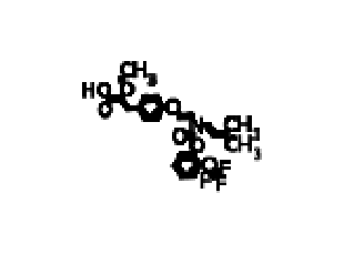 CCOC(Cc1ccc(OCCN(CCC(C)C)C(=O)Oc2ccccc2OC(F)(F)F)cc1)C(=O)O